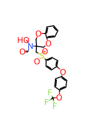 O=CN(O)C1(CS(=O)(=O)c2ccc(Oc3ccc(OC(F)(F)F)cc3)cc2)COc2ccccc2OC1